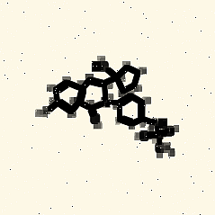 CS(=O)(=O)Nc1ccc(-n2c(C3(O)CCCC3)cc3ccc(F)cc3c2=O)cc1